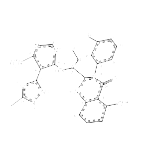 CC[C@H](Nc1ncnc(N)c1-c1nnc(C)o1)c1nc2cccc(Cl)c2c(=O)n1-c1cccc(C)c1